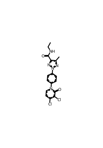 CCNC(=O)c1nn(-c2ccc(-n3ccc(Cl)c(Cl)c3=O)cc2)nc1C